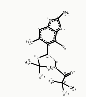 Cc1cc2nc(N)sc2c(Br)c1[C@H](COC(=O)C(C)(C)C)OC(C)(C)C